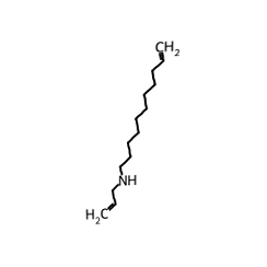 C=CCCCCCCCCCNCC=C